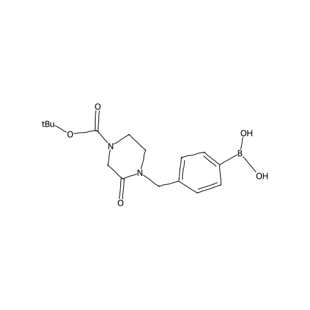 CC(C)(C)OC(=O)N1CCN(Cc2ccc(B(O)O)cc2)C(=O)C1